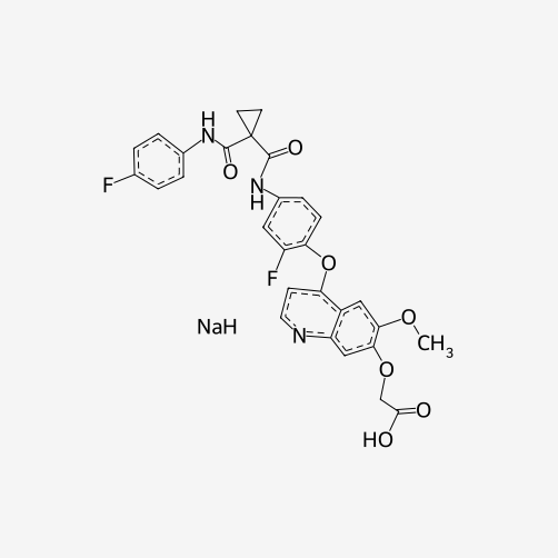 COc1cc2c(Oc3ccc(NC(=O)C4(C(=O)Nc5ccc(F)cc5)CC4)cc3F)ccnc2cc1OCC(=O)O.[NaH]